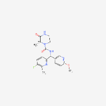 C[C@@H]1C(=O)NCCN1C(=O)NC(c1ccc(OC(F)(F)F)nc1)c1ccc(F)c(C(F)(F)F)n1